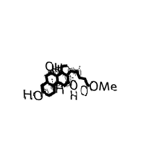 COC(=O)CC[C@@H](C)[C@H]1CC[C@H]2C3[C@H](O)CC4C[C@H](O)CC[C@]4(C)[C@H]3C[C@H](O)[C@]12C